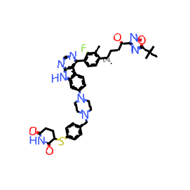 Cc1c([C@@H](C)CCC(=O)c2noc(C(C)(C)C)n2)ccc(-c2ncnc3[nH]c4cc(N5CCN(Cc6ccc(SC7CCC(=O)NC7=O)cc6)CC5)ccc4c23)c1F